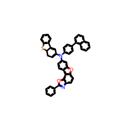 C1=C2c3ccccc3SC2CC=C1N(c1ccc(-c2cccc3ccccc23)cc1)c1ccc2c(c1)oc1ccc3nc(-c4ccccc4)oc3c12